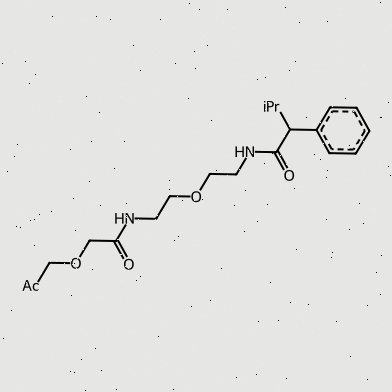 CC(=O)COCC(=O)NCCOCCNC(=O)C(c1ccccc1)C(C)C